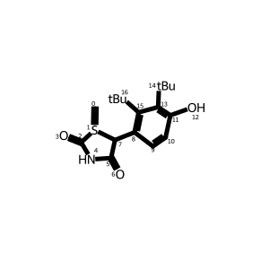 C=S1C(=O)NC(=O)C1c1ccc(O)c(C(C)(C)C)c1C(C)(C)C